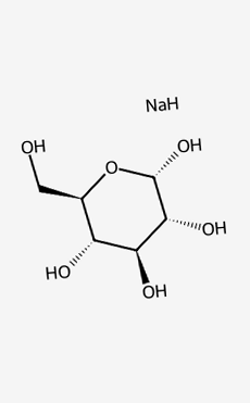 OC[C@H]1O[C@H](O)[C@H](O)[C@@H](O)[C@@H]1O.[NaH]